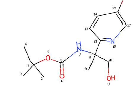 CC(C)(C)OC(=O)NC(C)(CO)c1ccc(Br)cn1